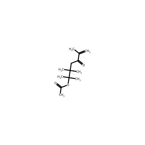 C=C(C)C(=O)CC(C)(C)C(C)(C)OC(C)=O